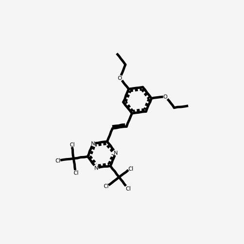 CCOc1cc(/C=C/c2nc(C(Cl)(Cl)Cl)nc(C(Cl)(Cl)Cl)n2)cc(OCC)c1